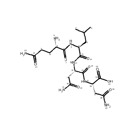 CC(C)C[C@H](NC(=O)[C@@H](N)CCC(N)=O)C(=O)N[C@@H](CC(N)=O)C(=O)N[C@@H](CC(N)=O)C(=O)O